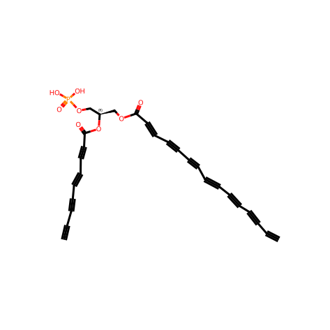 C#CC#CC#CC#CC#CC#CC#CC(=O)OC[C@H](COP(=O)(O)O)OC(=O)C#CC#CC#CC#C